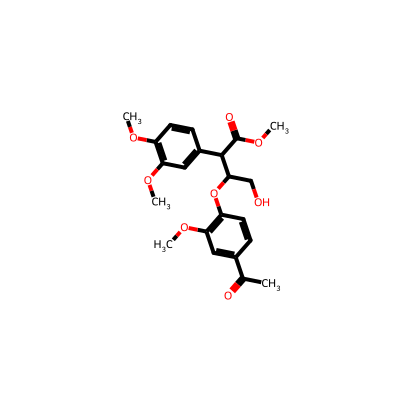 COC(=O)C(c1ccc(OC)c(OC)c1)C(CO)Oc1ccc(C(C)=O)cc1OC